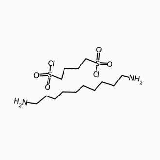 NCCCCCCCCCCN.O=S(=O)(Cl)CCCCS(=O)(=O)Cl